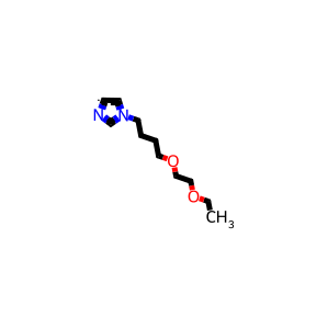 CCOCCOCCCCn1c[c]nc1